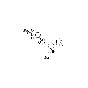 CC(C)(C)OC(=O)NC1CC(B2OC(C)(C)C(C)(C)O2)=CCC(CC2(C)OB(C3=CCC[C@H](NC(=O)OC(C)(C)C)C3)OC2(C)C)C1